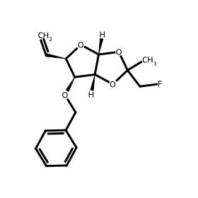 C=C[C@H]1O[C@@H]2OC(C)(CF)O[C@@H]2[C@H]1OCc1ccccc1